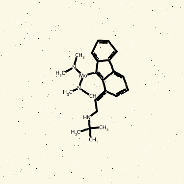 C[N](C)[Mo]([C]1=c2c(cccc2=CCNC(C)(C)C)-c2ccccc21)[N](C)C